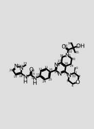 C[C@H]1COCCN1c1nc(-c2ccc(NC(=O)Nc3ccnn3C)cc2)nc2c1CCN(C(=O)C(C)(C)O)C2